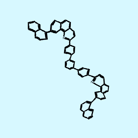 c1cc(-c2ccc(-c3ccc4ccc5ccc(-c6cccc7ccccc67)cc5c4n3)cc2)cc(-c2ccc(-c3ccc4ccc5ccc(-c6cccc7ccccc67)cc5c4n3)cc2)c1